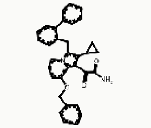 NC(=O)C(=O)c1c(C2CC2)c(Cc2ccccc2-c2ccccc2)n2cccc(OCc3ccccc3)c12